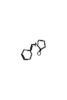 O=C1CCCN1C=C1CC=CCC1